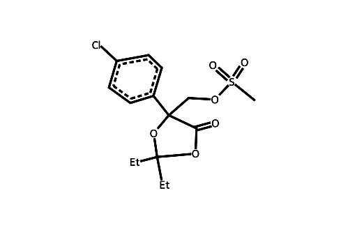 CCC1(CC)OC(=O)C(COS(C)(=O)=O)(c2ccc(Cl)cc2)O1